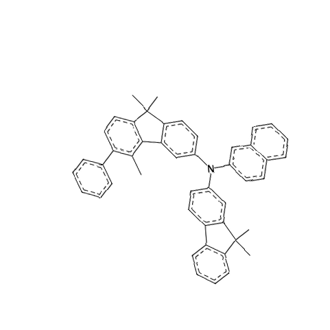 Cc1c(-c2ccccc2)ccc2c1-c1cc(N(c3ccc4c(c3)C(C)(C)c3ccccc3-4)c3ccc4ccccc4c3)ccc1C2(C)C